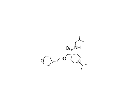 CC(C)CNC(=O)C1(COCCN2CCOCC2)CCN(C(C)C)CC1